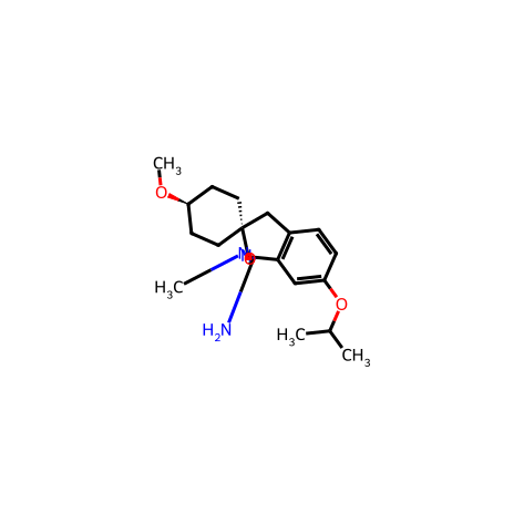 CO[C@H]1CC[C@]2(CC1)Cc1ccc(OC(C)C)cc1C21N=C(N)N(C)O1